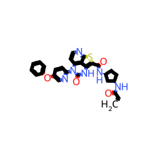 C=CC(=O)N[C@@H]1CC[C@@H](NC(=O)c2sc3nccc4c3c2NC(=O)N4c2ccc(Oc3ccccc3)cn2)C1